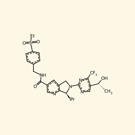 CCS(=O)(=O)c1ccc(CNC(=O)c2cnc3c(c2)CN(c2ncc([C@@H](C)O)c(C(F)(F)F)n2)[C@H]3C(C)C)cc1